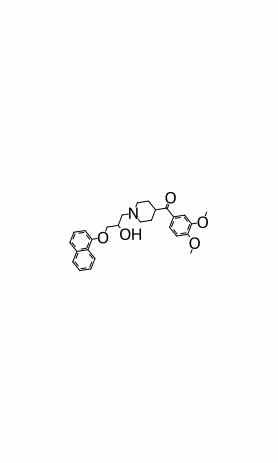 COc1ccc(C(=O)C2CCN(CC(O)COc3cccc4ccccc34)CC2)cc1OC